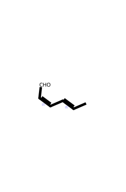 C/C=C/C=C\C=O